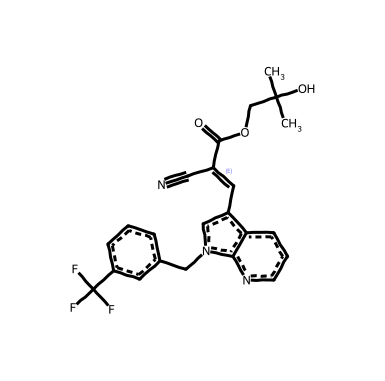 CC(C)(O)COC(=O)/C(C#N)=C/c1cn(Cc2cccc(C(F)(F)F)c2)c2ncccc12